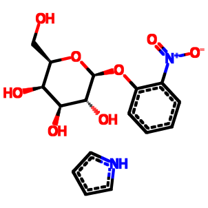 O=[N+]([O-])c1ccccc1O[C@@H]1O[C@H](CO)[C@H](O)[C@H](O)[C@H]1O.c1cc[nH]c1